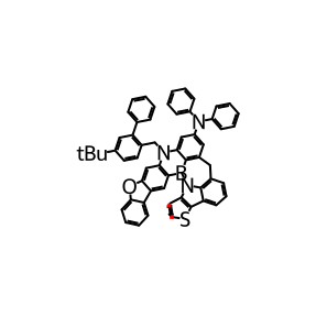 CC(C)(C)c1ccc(CN2c3cc4oc5ccccc5c4cc3B3c4c(cc(N(c5ccccc5)c5ccccc5)cc42)Cc2cccc4c5sc6ccccc6c5n3c24)c(-c2ccccc2)c1